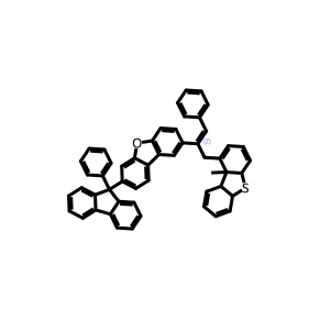 CC12C(C/C(=C/c3ccccc3)c3ccc4oc5cc(C6(c7ccccc7)c7ccccc7-c7ccccc76)ccc5c4c3)=CC=CC1SC1C=CC=CC12